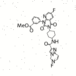 COC(=O)c1cccc(-n2c(=O)n(C3CCC(NC(=O)C4=C[N+]5CN(F)C=CC5=N4)CC3)c(=O)c3cc(F)cnc32)c1